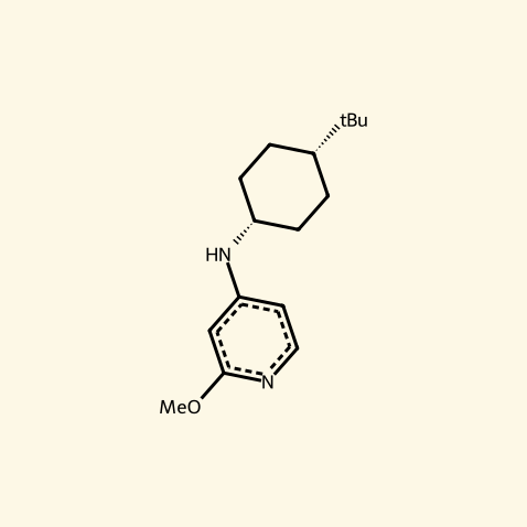 COc1cc(N[C@H]2CC[C@@H](C(C)(C)C)CC2)ccn1